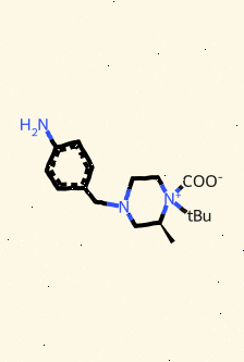 C[C@H]1CN(Cc2ccc(N)cc2)CC[N+]1(C(=O)[O-])C(C)(C)C